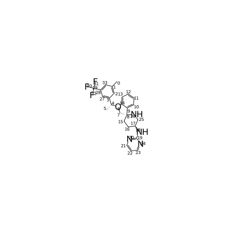 Cc1cc([C@@H](C)OC[C@@]2(c3ccccc3)CC[C@H](Nc3ncccn3)CN2)cc(C(F)(F)F)c1